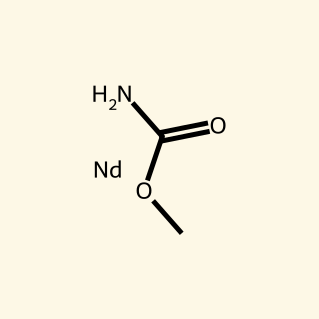 COC(N)=O.[Nd]